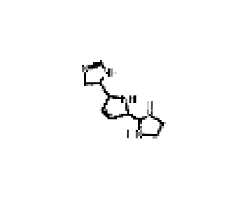 C1=CC(C2NCCN2)NC1C1CN=CN1